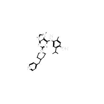 Cc1cc(O)c(C(C)C)cc1Nc1nc(N2CCC(Cc3ccncc3)CC2)nc2ncn(C)c12